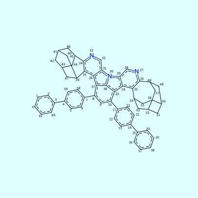 c1ccc(-c2ccc(-c3cc(-c4ccc(-c5ccccc5)cc4)c4c5c6c(ncc5n5c7cnc8c(c7c3c45)C3CC4CC(CC8C4)C3)C3CC4CC5CC6CC45C3)cc2)cc1